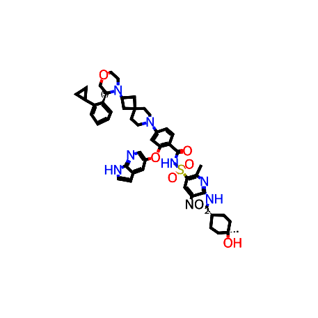 Cc1nc(NC[C@H]2CC[C@](C)(O)CC2)c([N+](=O)[O-])cc1S(=O)(=O)NC(=O)c1ccc(N2CCC3(CC2)CC(N2CCOC[C@@H]2c2ccccc2C2CC2)C3)cc1Oc1cnc2[nH]ccc2c1